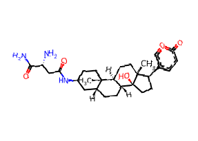 C[C@]12CC[C@H](NC(=O)C[C@@H](N)C(N)=O)C[C@H]1CC[C@@H]1[C@@H]2CC[C@]2(C)[C@@H](c3ccc(=O)oc3)CC[C@]12O